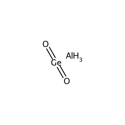 [AlH3].[O]=[Ge]=[O]